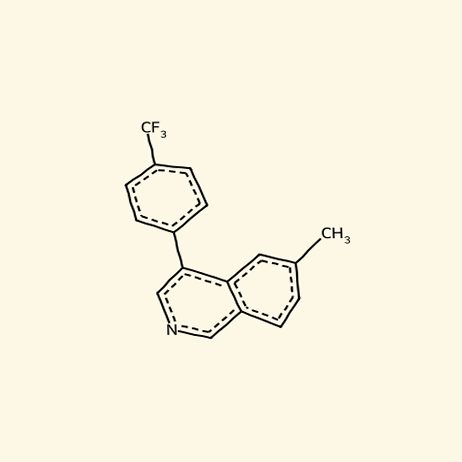 Cc1ccc2cncc(-c3ccc(C(F)(F)F)cc3)c2c1